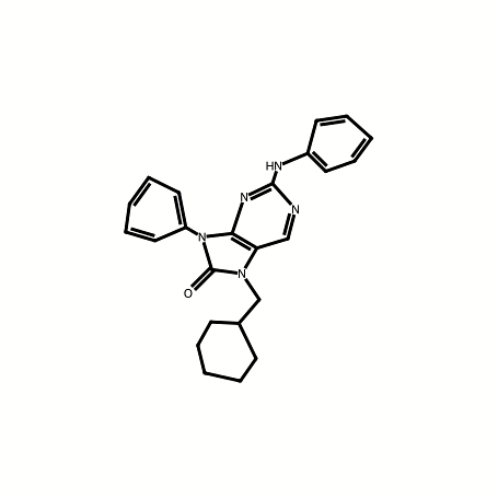 O=c1n(CC2CCCCC2)c2cnc(Nc3ccccc3)nc2n1-c1ccccc1